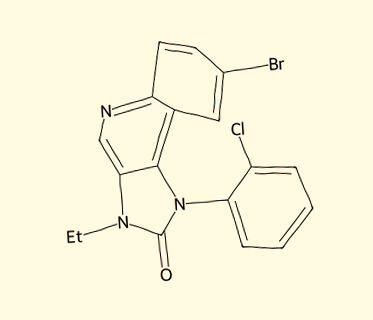 CCn1c(=O)n(-c2ccccc2Cl)c2c3cc(Br)ccc3ncc21